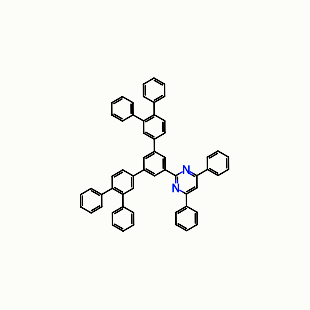 c1ccc(-c2cc(-c3ccccc3)nc(-c3cc(-c4ccc(-c5ccccc5)c(-c5ccccc5)c4)cc(-c4ccc(-c5ccccc5)c(-c5ccccc5)c4)c3)n2)cc1